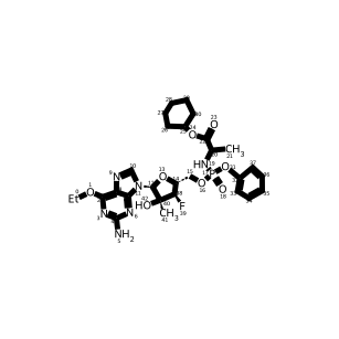 CCOc1nc(N)nc2c1ncn2[C@@H]1O[C@H](COP(=O)(NC(C)C(=O)OC2CCCCC2)Oc2ccccc2)[C@@H](F)[C@@]1(C)O